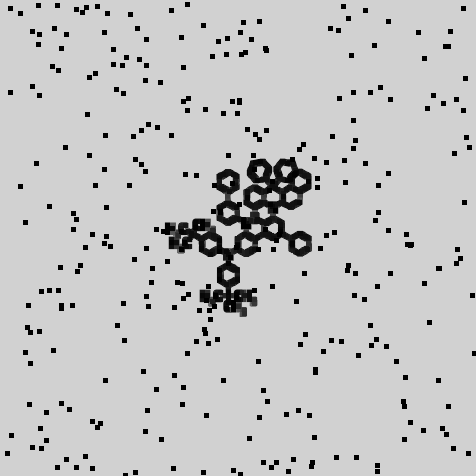 CC(C)(C)c1ccc(N(c2ccc(C(C)(C)C)cc2)c2ccc3c(c2)N(c2cccc(-c4ccccc4)c2)B2c4cccc5c4N(c4cc(-c6ccccc6)cc-3c42)c2ccc3ccccc3c2C5(c2ccccc2)c2ccccc2)cc1